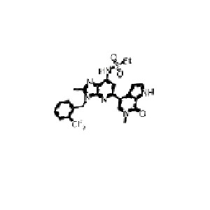 CCS(=O)(=O)Nc1cc(-c2cn(C)c(=O)c3[nH]ccc23)nc2c1nc(C)n2Cc1ccccc1C(F)(F)F